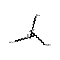 CCCCCCCCCCCCCCCCCCNC(=O)c1cc(CCCCCCCCCCCCCCCCCC)cc(C(=O)NCCCCCCCCCCCCCCCCCC)c1